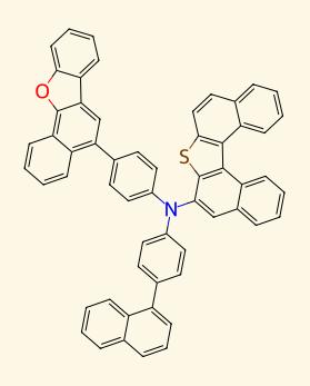 c1ccc2c(-c3ccc(N(c4ccc(-c5cc6c7ccccc7oc6c6ccccc56)cc4)c4cc5ccccc5c5c4sc4ccc6ccccc6c45)cc3)cccc2c1